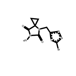 CCCN1C(=O)N(Cc2nnc(Br)s2)C2(CC2)C1=O